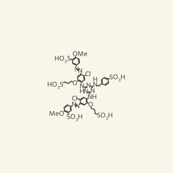 COc1ccc(N=Nc2cc(OCCCS(=O)(=O)O)c(Nc3nc(NCc4ccc(S(=O)(=O)O)cc4)nc(Nc4cc(Cl)c(N=Nc5ccc(OC)c(S(=O)(=O)O)c5)cc4OCCCS(=O)(=O)O)n3)cc2Cl)cc1S(=O)(=O)O